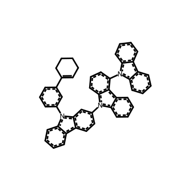 C1=C(c2cccc(-n3c4ccccc4c4ccc(-n5c6ccccc6c6c(-n7c8ccccc8c8ccccc87)cccc65)cc43)c2)CCCC1